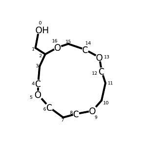 OCC1CCOCCCOCCCOCCO1